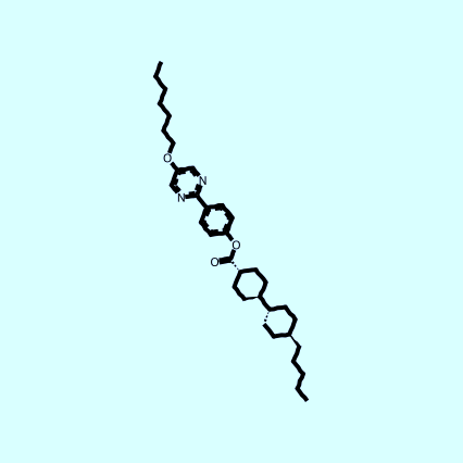 CCCCCCCOc1cnc(-c2ccc(OC(=O)[C@H]3CC[C@H]([C@H]4CC[C@H](CCCCC)CC4)CC3)cc2)nc1